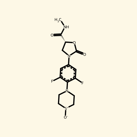 CNC(=O)[C@H]1CN(c2cc(F)c(N3CC[S+]([O-])CC3)c(F)c2)C(=O)O1